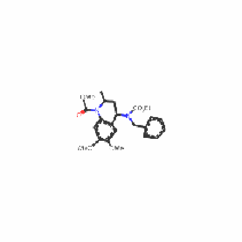 CCOC(=O)N(Cc1ccccc1)C1CC(C)N(C(=O)OC)c2cc(OC)c(OC)cc21